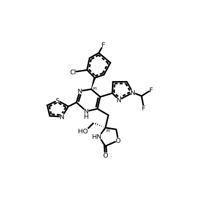 O=C1N[C@@](CO)(CC2=C(c3ccn(C(F)F)n3)[C@H](c3ccc(F)cc3Cl)N=C(c3nccs3)N2)CO1